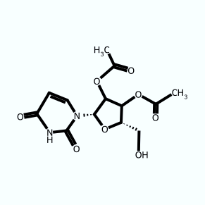 CC(=O)OC1C(OC(C)=O)[C@@H](n2ccc(=O)[nH]c2=O)O[C@H]1CO